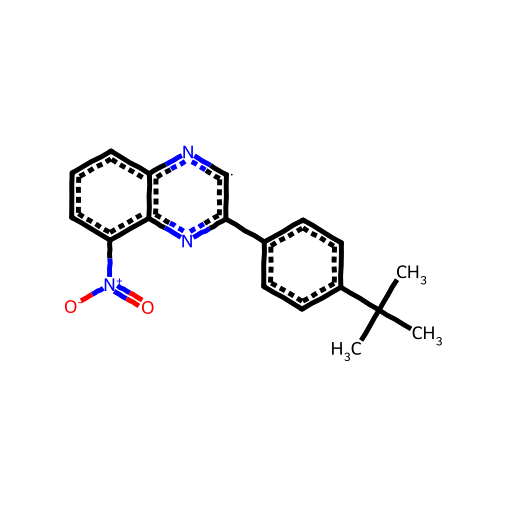 CC(C)(C)c1ccc(-c2[c]nc3cccc([N+](=O)[O-])c3n2)cc1